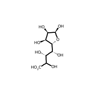 O=C(O)C(O)[C@H](O)[C@@H](O)[C@H]1O[C@H](O)[C@H](O)[C@@H]1O